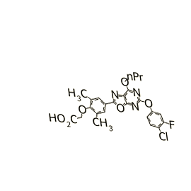 CCCOc1nc(Oc2ccc(Cl)c(F)c2)nc2oc(-c3cc(C)c(OCC(=O)O)c(C)c3)nc12